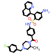 C[C@H]1CN(Cc2ccc(F)cc2)CCN1C(=O)c1ccc(NS(=O)(=O)c2ccc(N)cc2-c2cccc3cccnc23)cc1